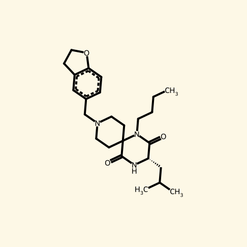 CCCCN1C(=O)[C@H](CC(C)C)NC(=O)C12CCN(Cc1ccc3c(c1)CCO3)CC2